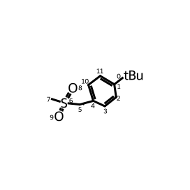 CC(C)(C)c1ccc([CH]S(C)(=O)=O)cc1